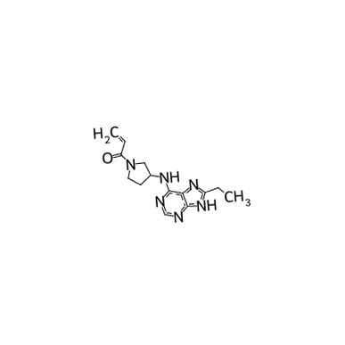 C=CC(=O)N1CCC(Nc2ncnc3[nH]c(CC)nc23)C1